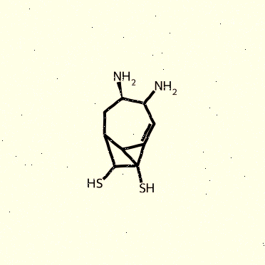 NC1C=C2C3C(C[C@H]1N)C(S)C23S